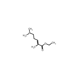 CCOC(=O)C(C)=CCCN(C)C